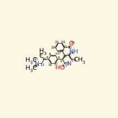 Cc1nc(O)c(-c2ccc(C(C)CN(C)C)cc2)c2c1[nH]c(=O)c1ccccc12